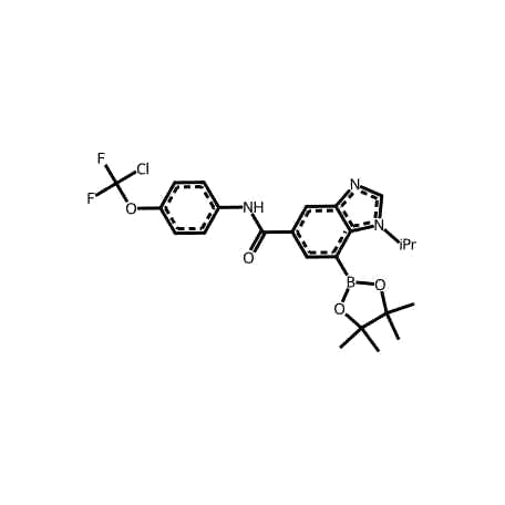 CC(C)n1cnc2cc(C(=O)Nc3ccc(OC(F)(F)Cl)cc3)cc(B3OC(C)(C)C(C)(C)O3)c21